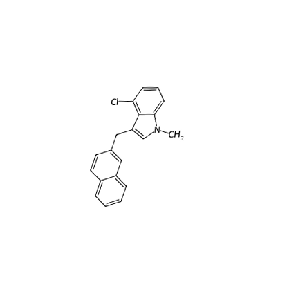 Cn1cc(Cc2ccc3ccccc3c2)c2c(Cl)cccc21